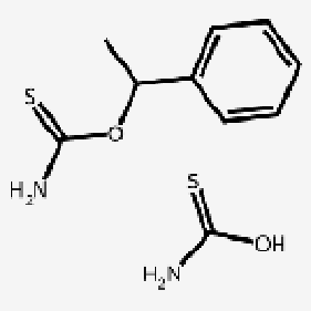 CC(OC(N)=S)c1ccccc1.NC(O)=S